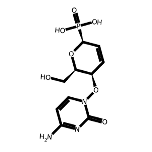 Nc1ccn(O[C@@H]2C=C[C@H](P(=O)(O)O)O[C@@H]2CO)c(=O)n1